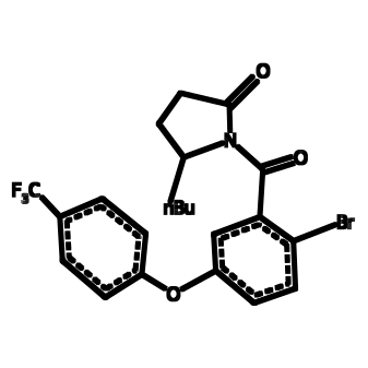 CCCCC1CCC(=O)N1C(=O)c1cc(Oc2ccc(C(F)(F)F)cc2)ccc1Br